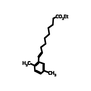 CCOC(=O)CCCCCCCC=Cc1cc(C)ccc1C